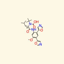 COc1cc(NC(=O)[C@@H](CC(C)C)N(C(=O)O)C(C)(C)C)c(-c2cnco2)cc1-c1cnco1